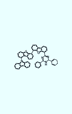 C1=CC(C2N=C(c3cccc4c3oc3c(-c5cccc6c5sc5cccc(-n7c8ccccc8c8ccccc87)c56)cccc34)N=C(c3ccccc3)N2)=CCC1